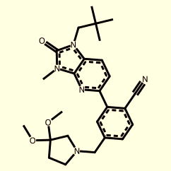 COC1(OC)CCN(Cc2ccc(C#N)c(-c3ccc4c(n3)n(C)c(=O)n4CC(C)(C)C)c2)C1